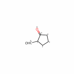 O=CC1CCCC1=O